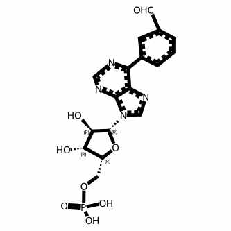 O=Cc1cccc(-c2ncnc3c2ncn3[C@@H]2O[C@H](COP(=O)(O)O)[C@H](O)[C@H]2O)c1